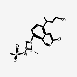 CC(CCO)c1ccc(N2C[C@H](NS(C)(=O)=O)[C@H]2C)c2cnc(Cl)cc12